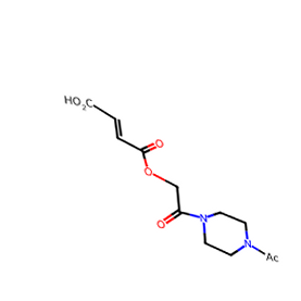 CC(=O)N1CCN(C(=O)COC(=O)C=CC(=O)O)CC1